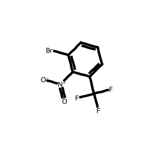 O=[N+]([O-])c1c(Br)[c]ccc1C(F)(F)F